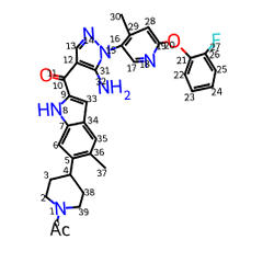 CC(=O)N1CCC(c2cc3[nH]c(C(=O)c4cnn(-c5cnc(Oc6ccccc6F)cc5C)c4N)cc3cc2C)CC1